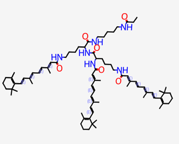 CCC(=O)NCCCCCNC(=O)C(CCCCNC(=O)/C=C(C)/C=C/C=C(C)/C=C/C1=C(C)CCCC1(C)C)NC(=O)C(CCCCNC(=O)/C=C(C)/C=C/C=C(C)/C=C/C1=C(C)CCCC1(C)C)NC(=O)/C=C(C)/C=C/C=C(C)/C=C/C1=C(C)CCCC1(C)C